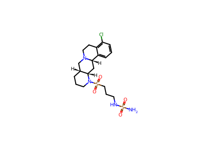 NS(=O)(=O)NCCCS(=O)(=O)N1CCC[C@@H]2CN3CCc4c(Cl)cccc4[C@@H]3C[C@@H]21